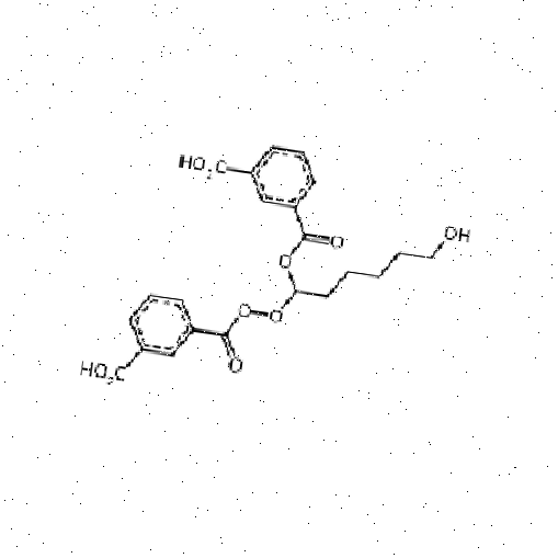 O=C(O)c1cccc(C(=O)OOC(CCCCCO)OC(=O)c2cccc(C(=O)O)c2)c1